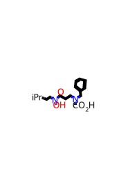 CC(C)CCN(O)C(=O)CCN(Cc1ccccc1)C(=O)O